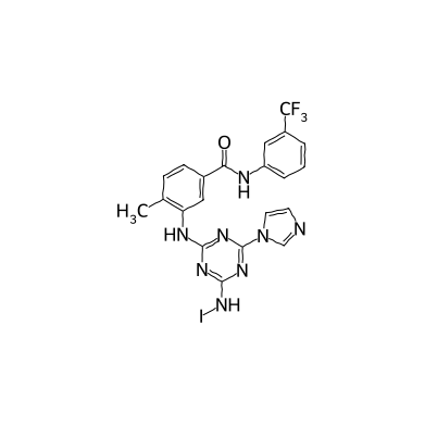 Cc1ccc(C(=O)Nc2cccc(C(F)(F)F)c2)cc1Nc1nc(NI)nc(-n2ccnc2)n1